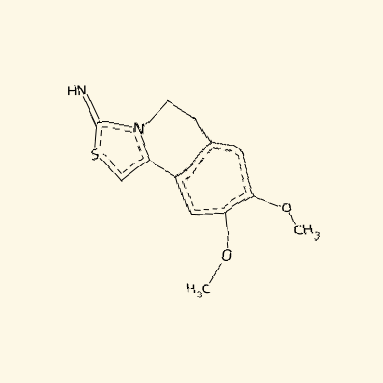 COc1cc2c(cc1OC)-c1csc(=N)n1CC2